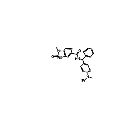 CC(C)N(C)c1ccc(C(NC(=O)c2ccc3c(c2)[nH]c(=O)n3C)c2ccccc2)cn1